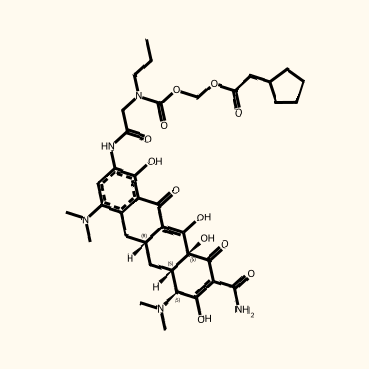 CCCN(CC(=O)Nc1cc(N(C)C)c2c(c1O)C(=O)C1=C(O)[C@]3(O)C(=O)C(C(N)=O)=C(O)[C@@H](N(C)C)[C@@H]3C[C@@H]1C2)C(=O)OCOC(=O)CC1CCCC1